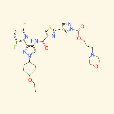 CCOC1CCC(n2cc(NC(=O)c3csc(-c4cnn(C(=O)OCCCN5CCOCC5)c4)n3)c(-c3nc(F)ccc3F)n2)CC1